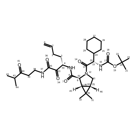 C=CCC[C@H](NC(=O)[C@@H]1[C@@H]2[C@H](CN1C(=O)[C@@H](NC(=O)OC(C)(C)C)C1CCCCC1)C2(C)C)C(=O)C(=O)NCCC(=O)C(C)C